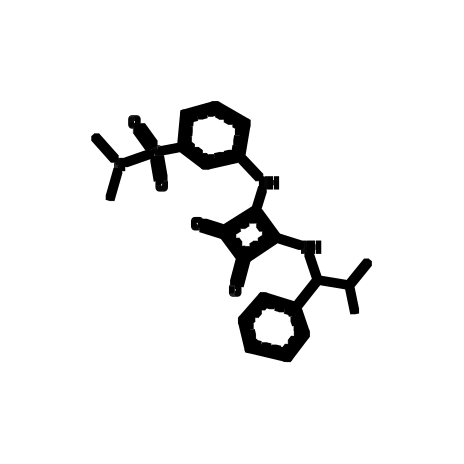 CC(C)C(Nc1c(Nc2cccc(S(=O)(=O)N(C)C)c2)c(=O)c1=O)c1ccccc1